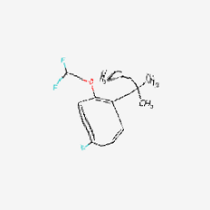 CC(C)(C)c1ccc(F)cc1OC(F)F